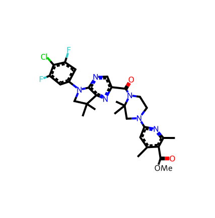 COC(=O)c1c(C)cc(N2CCN(C(=O)c3cnc4c(n3)C(C)(C)CN4c3cc(F)c(Cl)c(F)c3)C(C)(C)C2)nc1C